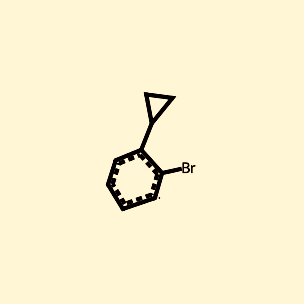 Brc1[c]cccc1C1CC1